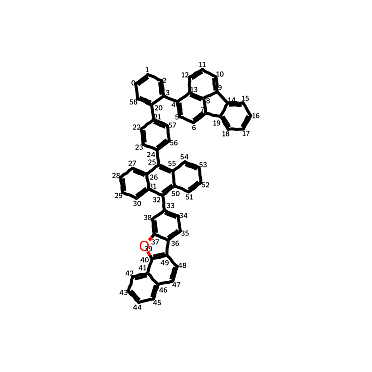 c1ccc(-c2ccc3c4c(cccc24)-c2ccccc2-3)c(-c2ccc(-c3c4ccccc4c(-c4ccc5c(c4)oc4c6ccccc6ccc54)c4ccccc34)cc2)c1